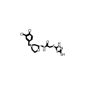 O=C(CSC1NN=C(S)S1)NC[C@H]1CN(Cc2ccc(Cl)c(Cl)c2)CCO1